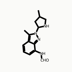 Cc1c2cccc(NC=O)c2nn1C1CC(C)CN1